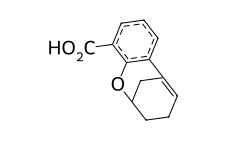 O=C(O)c1cccc2c1OC1CCC=C2C1